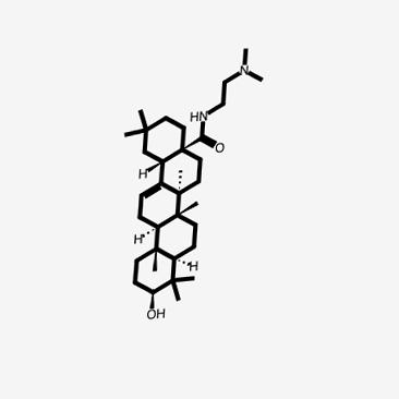 CN(C)CCNC(=O)[C@]12CCC(C)(C)C[C@H]1C1=CC[C@@H]3[C@@]4(C)CC[C@H](O)C(C)(C)[C@@H]4CC[C@@]3(C)[C@]1(C)CC2